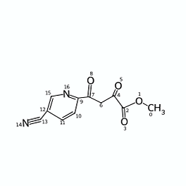 COC(=O)C(=O)CC(=O)c1ccc(C#N)cn1